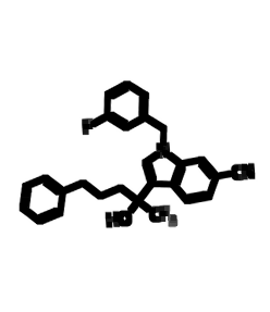 N#Cc1ccc2c(C(O)(CCCc3ccccc3)C(F)(F)F)cn(Cc3cccc(F)c3)c2c1